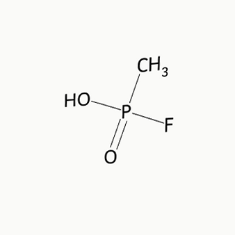 CP(=O)(O)F